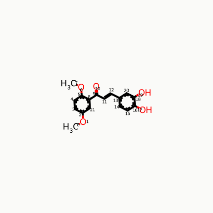 COc1ccc(OC)c(C(=O)C=Cc2ccc(O)c(O)c2)c1